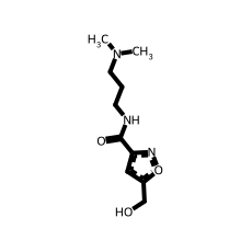 CN(C)CCCNC(=O)c1cc(CO)on1